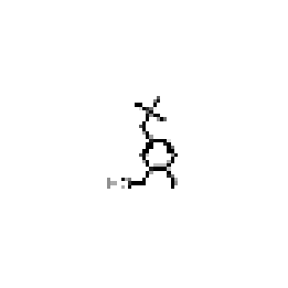 CC(C)(C)Cc1ccc(F)c(CO)c1